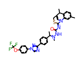 Cc1ccc2c(c1)N1C=C(CS/C1=N\C(=O)NN(C)C(C)c1ccc(-c3ncn(-c4ccc(OC(F)(F)F)cc4)n3)cc1)C2C